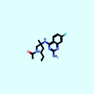 CCCCC(C)(CNC(C)=O)Nc1nc(N)nc2cc(F)ccc12